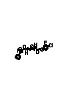 O=C(COc1ccc(Cl)c(F)c1)NC[C@@H](O)CCNC(=O)c1cc(-c2ccccc2)no1